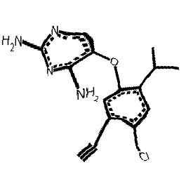 C#Cc1cc(Oc2cnc(N)nc2N)c(C(C)C)cc1Cl